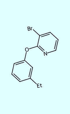 CCc1cccc(Oc2ncccc2Br)c1